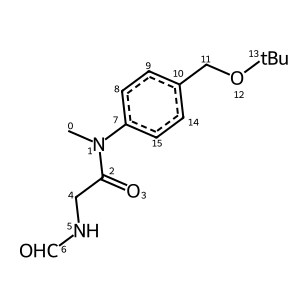 CN(C(=O)CNC=O)c1ccc(COC(C)(C)C)cc1